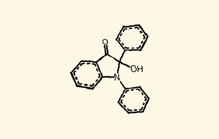 O=C1c2ccccc2N(c2ccccc2)C1(O)c1ccccc1